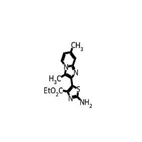 CCOC(=O)c1nc(N)sc1-c1nc2cc(C)ccn2c1C